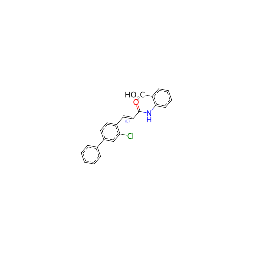 O=C(/C=C/c1ccc(-c2ccccc2)cc1Cl)Nc1ccccc1C(=O)O